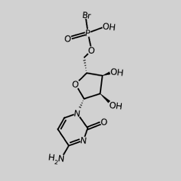 Nc1ccn([C@@H]2O[C@H](COP(=O)(O)Br)[C@@H](O)[C@H]2O)c(=O)n1